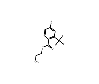 CCCOC(=O)c1ccc(F)cc1C(F)(F)F